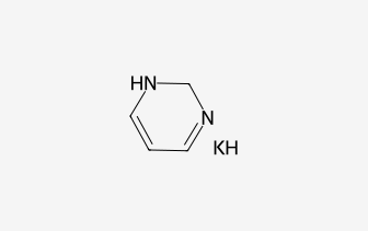 C1=CNCN=C1.[KH]